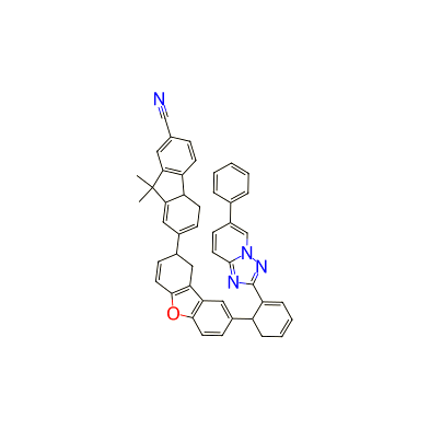 CC1(C)C2=CC(C3C=Cc4oc5ccc(C6CC=CC=C6c6nc7ccc(-c8ccccc8)cn7n6)cc5c4C3)=CCC2c2ccc(C#N)cc21